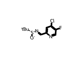 CC(C)(C)[S@@+]([O-])/N=C/c1cc(Cl)c(F)cn1